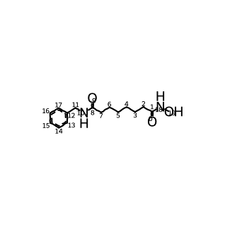 O=C(CCCCCCC(=O)NCc1ccccc1)NO